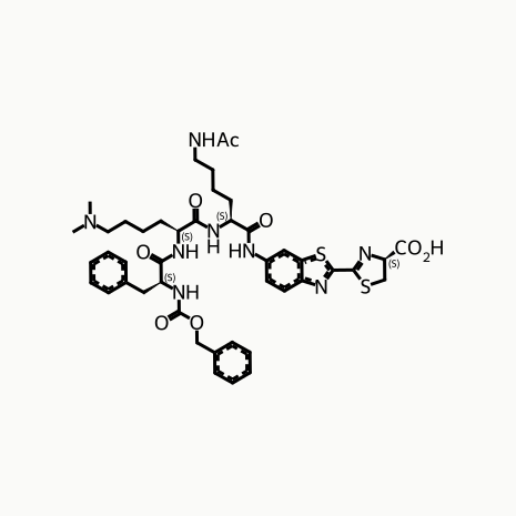 CC(=O)NCCCC[C@H](NC(=O)[C@H](CCCCN(C)C)NC(=O)[C@H](Cc1ccccc1)NC(=O)OCc1ccccc1)C(=O)Nc1ccc2nc(C3=N[C@@H](C(=O)O)CS3)sc2c1